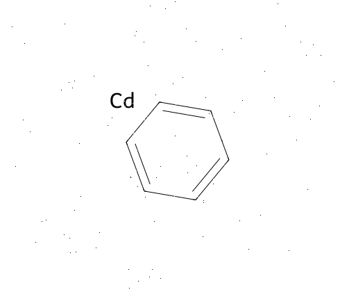 [Cd].c1ccccc1